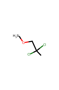 CC(Cl)(Cl)CO[SiH3]